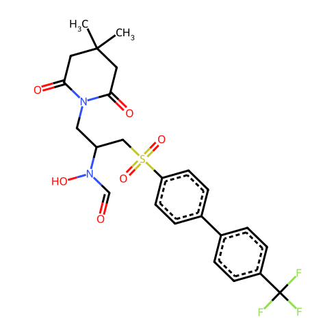 CC1(C)CC(=O)N(CC(CS(=O)(=O)c2ccc(-c3ccc(C(F)(F)F)cc3)cc2)N(O)C=O)C(=O)C1